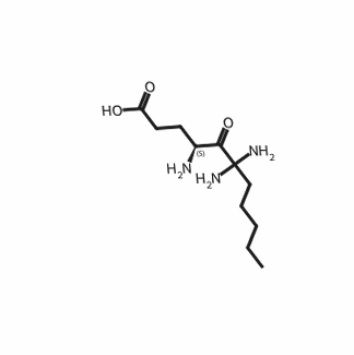 CCCCCC(N)(N)C(=O)[C@@H](N)CCC(=O)O